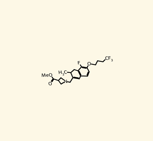 COC(=O)C1CN(CC2=Cc3ccc(OCCCC(F)(F)F)c(F)c3CC2C)C1